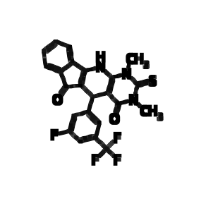 Cn1c2c(c(=O)n(C)c1=S)C(c1cc(F)cc(C(F)(F)F)c1)C1=C(N2)c2ccccc2C1=O